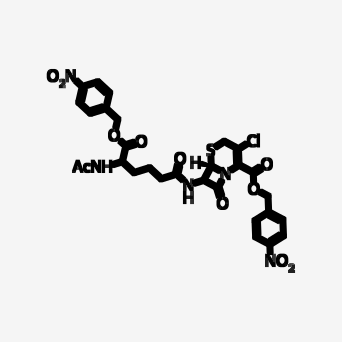 CC(=O)NC(CCCC(=O)NC1C(=O)N2C(C(=O)OCc3ccc([N+](=O)[O-])cc3)=C(Cl)CS[C@@H]12)C(=O)OCc1ccc([N+](=O)[O-])cc1